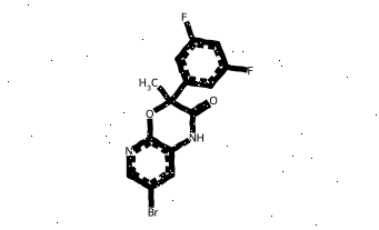 CC1(c2cc(F)cc(F)c2)Oc2ncc(Br)cc2NC1=O